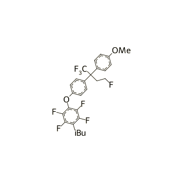 CCC(C)c1c(F)c(F)c(Oc2ccc(C(CCF)(c3ccc(OC)cc3)C(F)(F)F)cc2)c(F)c1F